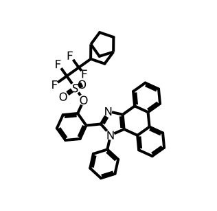 O=S(=O)(Oc1ccccc1-c1nc2c3ccccc3c3ccccc3c2n1-c1ccccc1)C(F)(F)C(F)(F)C1CC2CCC1C2